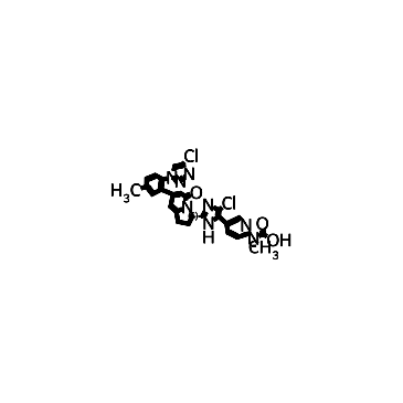 Cc1ccc(-n2cc(Cl)nn2)c(-c2cc3n(c(=O)c2)[C@H](c2nc(Cl)c(-c4ccc(N(C)C(=O)O)nc4)[nH]2)CC3)c1